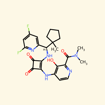 CN(C)C(=O)c1nccc(Nc2c(N[C@@H](c3cc(F)cc(F)n3)C3(C)CCCC3)c(=O)c2=O)c1O